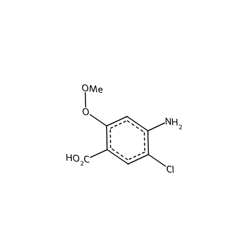 COOc1cc(N)c(Cl)cc1C(=O)O